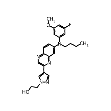 CCCCN(c1cc(F)cc(OC)c1)c1ccc2ncc(-c3cnn(CCO)c3)nc2c1